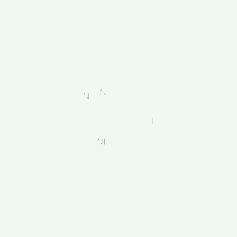 Nc1cnncc1CS